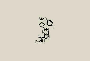 CCNC(=O)c1cnn2cnc(N3CCC[C@@H]3c3cc(F)ccc3OC)nc12